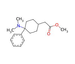 COC(=O)CC1CCC(c2ccccc2)(N(C)C)CC1